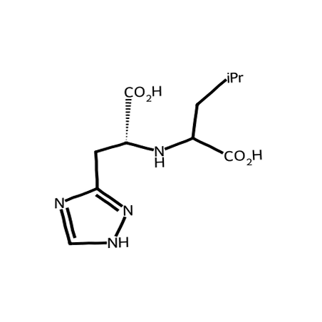 CC(C)CC(N[C@H](Cc1nc[nH]n1)C(=O)O)C(=O)O